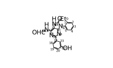 CCc1ccccc1-n1c(=O)[nH]c2c(NC=O)nc(-c3cccc(O)c3)nc21